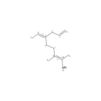 C=CC/C(=C/C)CC/C(C)=C(\C)CCC